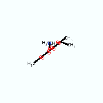 CCCCCCCCCOC(=O)CCCCCCCC(=O)OCC(COC(=O)CCCCCCC(=O)OCC(CCCCCC)CCCCCCCC)OC(=O)CCCN(C)C